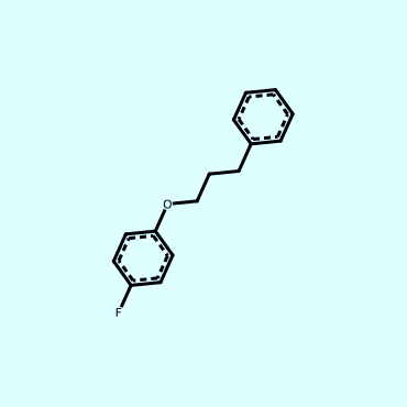 Fc1ccc(OCCCc2ccccc2)cc1